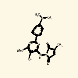 CSc1nc(-c2ccc(N(C)C)cc2)nc(NN2C(=O)C=C(C)C2=O)c1C#N